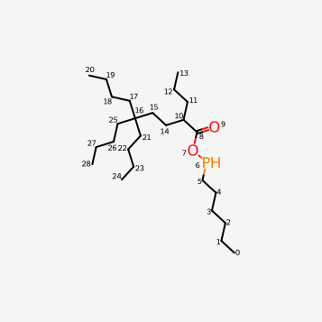 CCCCCCPOC(=O)C(CCC)CCC(CCCC)(CCCC)CCCC